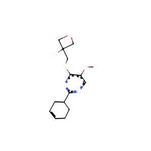 COc1cnc(C2CC=CCC2)nc1NCC1(N)COC1